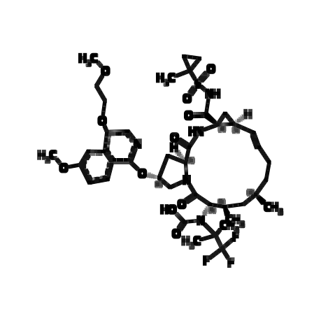 COCCOc1cnc(O[C@@H]2C[C@H]3C(=O)N[C@]4(C(=O)NS(=O)(=O)C5(C)CC5)C[C@H]4C=CCC[C@@H](C)C[C@@H](C)[C@H](N(C(=O)O)C(C)(C)C(F)(F)F)C(=O)N3C2)c2ccc(OC)cc12